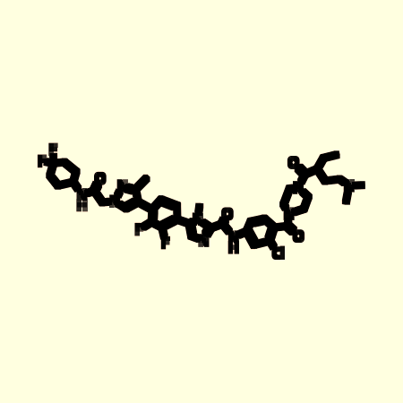 CCC(CCN(C)C)C(=O)N1CCN(C(=O)c2ccc(NC(=O)c3ncc(-c4ccc(-c5cn(CC(=O)NC6CCC(F)(F)CC6)nc5C)c(F)c4F)n3C)cc2Cl)CC1